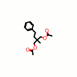 CC(=O)OCC(C)(CCc1ccccc1)COC(C)=O